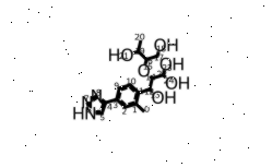 Cc1cc(-c2c[nH]nn2)ccc1C(O)C(OC(CO)C(C)O)C(O)O